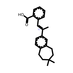 C/C(=C\c1ccccc1C(=O)O)c1ccc2c(c1)CCC(C)(C)CC2